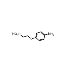 Nc1ccc(SCCC(=O)O)cc1